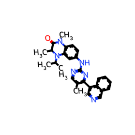 Cc1cnc(Nc2ccc3c(c2)N(C(C)C)C(C)C(=O)N3C)nc1-c1cncc2ccccc12